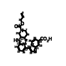 C=CCOC(=O)N1CC[C@H](F)[C@@H](Nc2cccc(-c3cnc4cc(C(=O)O)ccn34)n2)C1